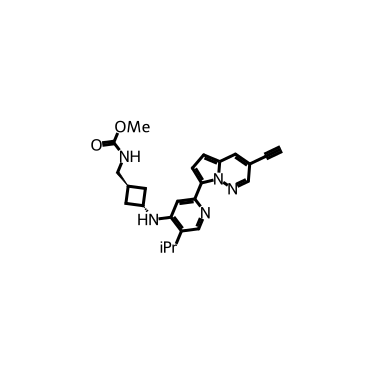 C#Cc1cnn2c(-c3cc(N[C@H]4C[C@H](CNC(=O)OC)C4)c(C(C)C)cn3)ccc2c1